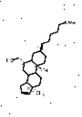 CNCCCC/C=C1\CC[C@]2(C)C3CC[C@@]4(C)C=CCC4C3C[C@H](CO)C2C1